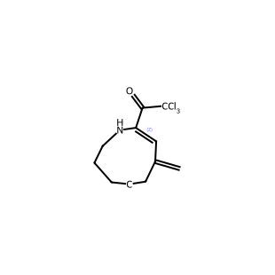 C=C1/C=C(/C(=O)C(Cl)(Cl)Cl)NCCCCC1